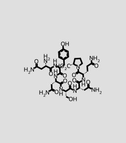 NC(=O)CC[C@H](NC(=O)[C@H](CC(N)=O)NC(=O)[C@H](CO)NC(=O)[C@H](CC(N)=O)NC(=O)[C@H](Cc1ccc(O)cc1)NC(=O)[C@@H](N)CC(N)=O)C(=O)N1CCC[C@H]1C(=O)O